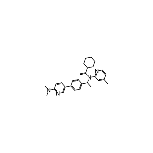 C=C(C1CCCCC1)N(c1cc(C)ccn1)C(C)c1ccc(-c2ccc(N(C)C)nc2)cc1